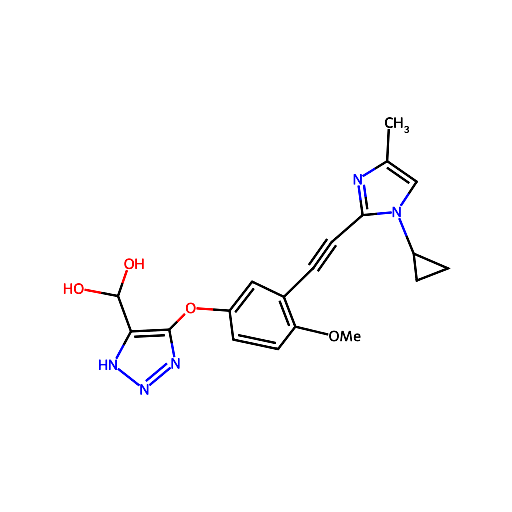 COc1ccc(Oc2nn[nH]c2C(O)O)cc1C#Cc1nc(C)cn1C1CC1